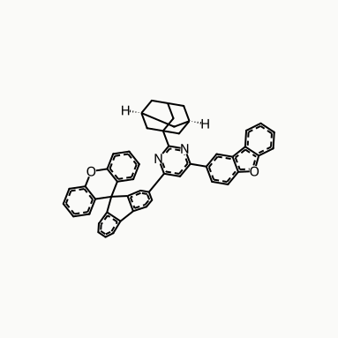 c1ccc2c(c1)Oc1ccccc1C21c2ccccc2-c2ccc(-c3cc(-c4ccc5oc6ccccc6c5c4)nc(C45CC6C[C@H](C4)C[C@@H](C6)C5)n3)cc21